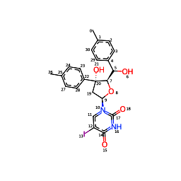 Cc1ccc(C(O)[C@H]2O[C@@H](n3cc(I)c(=O)[nH]c3=O)C[C@@]2(O)c2ccc(C)cc2)cc1